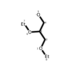 CCOCC(C[O])OCC